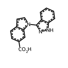 O=C(O)c1ccc2ccn(-c3n[nH]c4ccccc34)c2c1